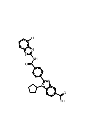 O=C(O)c1ccc2c(c1)nc(-c1ccc(C(=O)Nc3nc4c(Cl)cccc4s3)cc1)n2C1CCCC1